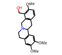 COc1cc2c(cc1OC)C1Cc3ccc(OC)c(CO)c3CN1CC2